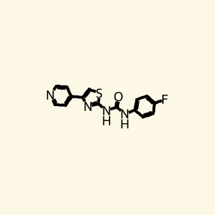 O=C(Nc1ccc(F)cc1)Nc1nc(-c2ccncc2)cs1